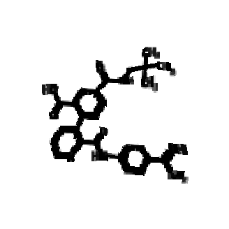 CC(C)(C)CNC(=O)c1ccc(-c2cccnc2C(=O)Nc2ccc(C(=N)N)cc2)c(C(=O)O)c1